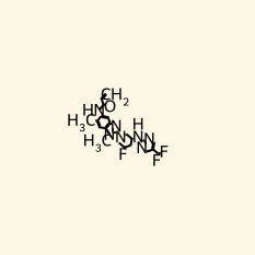 C=CC(=O)Nc1cc2nc(N3C[C@H](F)C[C@@H](Nc4ncc(C(F)F)cn4)C3)n(C)c2cc1C